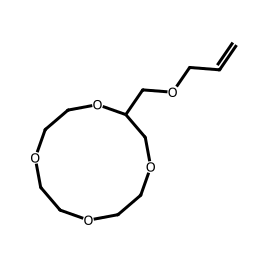 C=CCOCC1COCCOCCOCCO1